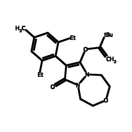 C=C(Oc1c(-c2c(CC)cc(C)cc2CC)c(=O)n2n1CCOCC2)C(C)(C)C